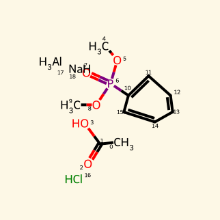 CC(=O)O.COP(=O)(OC)c1ccccc1.Cl.[AlH3].[NaH]